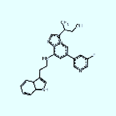 CC(CO)c1cnc2c(NCCC3=CNC4C=CC=CC34)cc(-c3cncc(F)c3)cn12